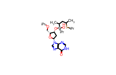 CC(C)OC[C@H]1O[C@@H](n2cnc3c(=O)[nH]cnc32)C[C@H]1O[Si](O)(C(C)C)C(C)CC(C)SC(C)C